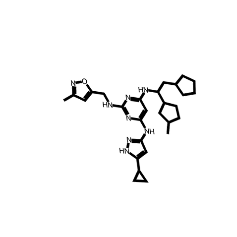 Cc1cc(CNc2nc(Nc3cc(C4CC4)[nH]n3)cc(NC(CC3CCCC3)C3CCC(C)C3)n2)on1